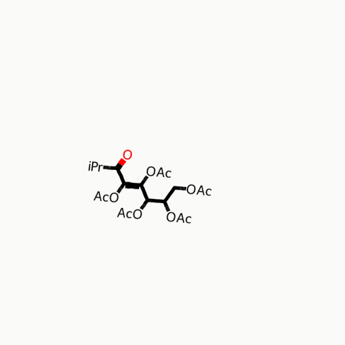 CC(=O)OCC(OC(C)=O)C(OC(C)=O)/C(OC(C)=O)=C(\OC(C)=O)C(=O)C(C)C